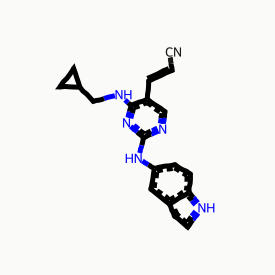 N#CC=Cc1cnc(Nc2ccc3[nH]ccc3c2)nc1NCC1CC1